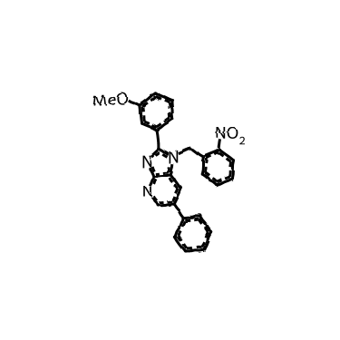 COc1cccc(-c2nc3ncc(-c4ccccc4)cc3n2Cc2ccccc2[N+](=O)[O-])c1